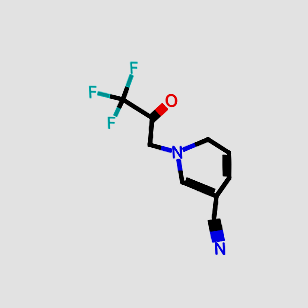 N#CC1=CN(CC(=O)C(F)(F)F)CC=C1